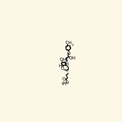 Cc1ccc(OC[C@H](O)/C=C/[C@@H]2[C@H]3CC[C@H](CCCC(=O)OC(C)C)CO[C@H]3C[C@H]2O)cc1